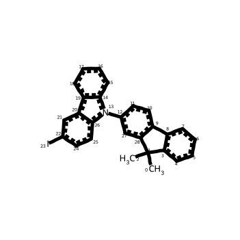 CC1(C)c2ccccc2-c2ccc(-n3c4ccccc4c4cc(I)ccc43)cc21